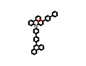 c1ccc(-c2ccc(-c3ccc(N(c4ccc(-c5ccc(-c6cc7ccccc7c7ccccc67)cc5)cc4)c4ccccc4-c4ccccc4)cc3)cc2)cc1